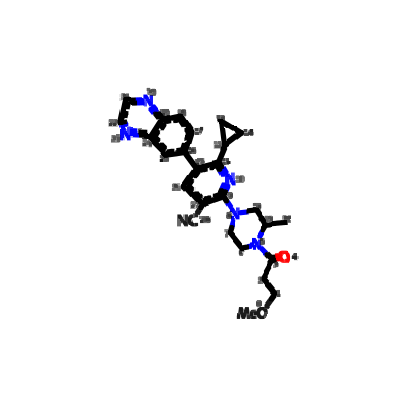 COCCC(=O)N1CCN(c2nc(C3CC3)c(-c3ccc4nccnc4c3)cc2C#N)CC1C